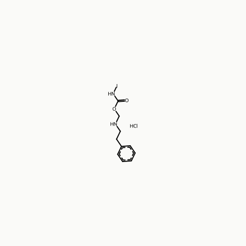 Cl.O=C(NI)OCNCCc1ccccc1